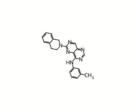 Cc1cccc(Nc2ncnc3cnc(N4CCc5ccccc5C4)nc23)c1